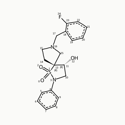 O=S1(=O)N(c2ccccc2)C[C@@H](O)[C@]12CCN(Cc1ccccc1F)C2